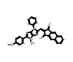 COc1ccc(-c2nc3c(nc(C=C4C(=O)c5cc6ccccc6cc5C4=O)n3-c3ccccc3)n2C)cc1